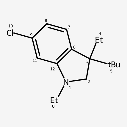 CCN1CC(CC)(C(C)(C)C)c2ccc(Cl)cc21